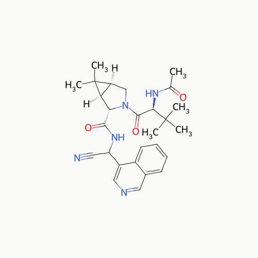 CC(=O)N[C@H](C(=O)N1C[C@H]2[C@@H]([C@H]1C(=O)NC(C#N)c1cncc3ccccc13)C2(C)C)C(C)(C)C